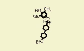 CCOC1CCC(C2CCC(C(F)(F)Oc3cc(C)c(O)c(C(C)(C)C)c3)CC2)CC1